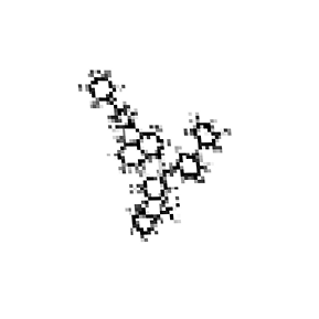 CC1(C)c2ccccc2-c2ccc(N(c3cccc(-c4ccccc4)c3)c3ccc4c5c(cccc35)-c3oc(-c5ccccc5)nc3-4)cc21